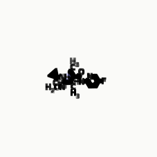 C=N/C(NC1(C)CC1)=C(C)/C(=C/C)C(=O)Nc1ccc(F)cn1